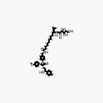 COc1ccc([C@@H]2[C@@H](CCC(O)c3ccc(F)cc3)C(=O)N2c2ccc(CNC(=O)CCCCCCCCCCC(NCC(O)[C@@H](O)[C@H](O)CCO)=C3CC3)cc2)cc1